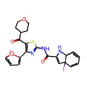 O=C(Nc1nc(-c2ccco2)c(C(=O)C2CCOCC2)s1)C1=CC2(I)C=CC=CC2N1